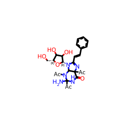 CC(=O)N1C2N([C@@H]3O[C@H](CO)C(O)C3O)C(C=Cc3ccccc3)=NC2(C(C)=O)C(=O)NC1(N)C(C)=O